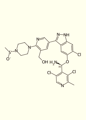 Cc1ncc(Cl)c([C@@H](N)Oc2cc3c(-c4cnc(N5CCN([S+](C)[O-])CC5)c(CO)c4)n[nH]c3cc2Cl)c1Cl